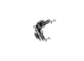 O.O.O.O.O.O.O.O.O.O.O=C([O-])C(=O)[O-].O=C([O-])C(=O)[O-].O=C([O-])C(=O)[O-].[Dy+3].[Dy+3]